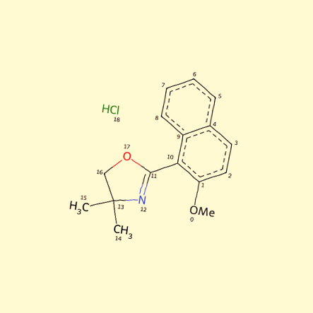 COc1ccc2ccccc2c1C1=NC(C)(C)CO1.Cl